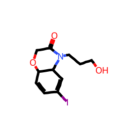 O=C1COC2C=CC(I)=CC2N1CCCO